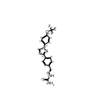 NC(=S)NN=Cc1ccc(-c2ncn(-c3ccc(OC(F)(F)F)cc3)n2)cc1